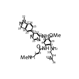 CNC/C=C/C(=O)Nc1cc(Nc2cc(-c3ccc4c(cnn4C)c3)ncn2)c(OC)cc1N(C)CCN(C)C